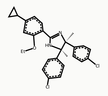 CCOc1cc(C2CC2)ccc1C1=N[C@@](C)(c2ccc(Cl)cc2)[C@@](C)(c2ccc(Cl)cc2)N1